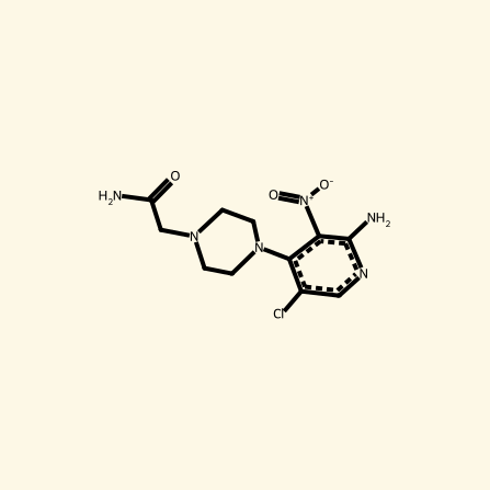 NC(=O)CN1CCN(c2c(Cl)cnc(N)c2[N+](=O)[O-])CC1